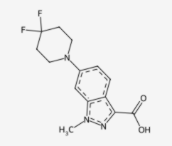 Cn1nc(C(=O)O)c2ccc(N3CCC(F)(F)CC3)cc21